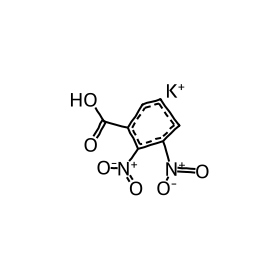 O=C(O)c1cccc([N+](=O)[O-])c1[N+](=O)[O-].[K+]